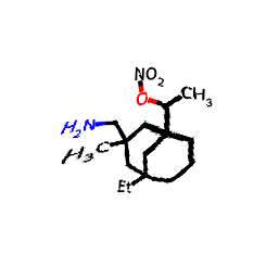 CCC12CCCC(C(C)O[N+](=O)[O-])(CC(C)(CN)C1)C2